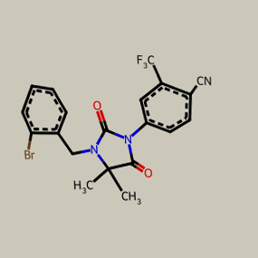 CC1(C)C(=O)N(c2ccc(C#N)c(C(F)(F)F)c2)C(=O)N1Cc1ccccc1Br